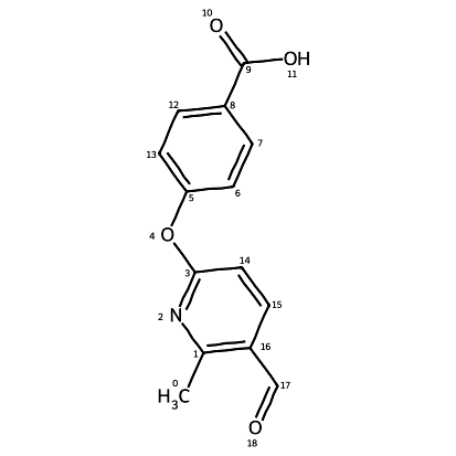 Cc1nc(Oc2ccc(C(=O)O)cc2)ccc1C=O